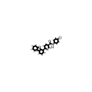 O=C(Nc1ccc(Cl)cc1)c1ccc(-c2cccc3c2oc2ccccc23)nc1